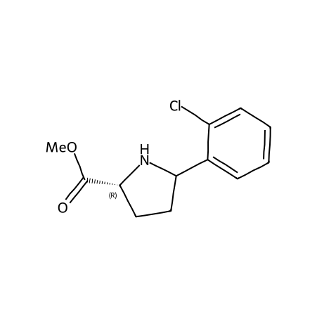 COC(=O)[C@H]1CCC(c2ccccc2Cl)N1